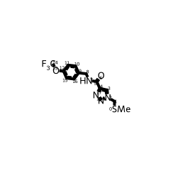 CSCn1cc(C(=O)NCc2ccc(OC(F)(F)F)cc2)nn1